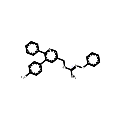 N/C(=N\Sc1ccccc1)NCc1cnc(-c2ccccc2)c(-c2ccc(C(F)(F)F)cc2)c1